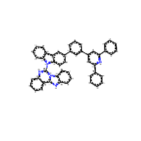 c1ccc(-c2cc(-c3cccc(-c4ccc5c(c4)c4ccccc4n5-c4nc5ccccc5c5nc6ccccc6n45)c3)cc(-c3ccccc3)n2)cc1